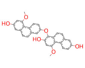 COc1cc(O)cc2ccc3cc(Oc4c(O)cc(OC)c5c4ccc4cc(O)ccc45)ccc3c12